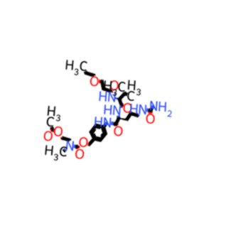 CCCOCCC(=O)N[C@H](C(=O)N[C@@H](CCCNC(N)=O)C(=O)Nc1ccc(COC(=O)N(C)CCOC(C)=O)cc1)C(C)C